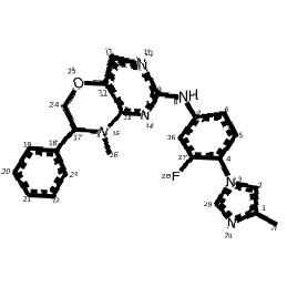 Cc1cn(-c2ccc(Nc3ncc4c(n3)N(C)C(c3ccccc3)CO4)cc2F)cn1